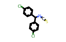 S=C=NC(c1ccc(Cl)cc1)c1ccc(Cl)cc1